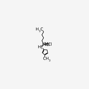 CCCCC[NH][Hf][C]1=CC(C)=CC1.Cl.Cl